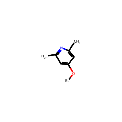 CCOc1cc(C)nc(C)c1